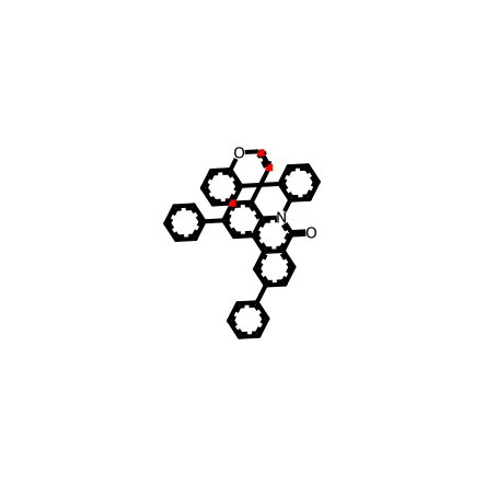 O=c1c2ccc(-c3ccccc3)cc2c2cc(-c3ccccc3)cc3c2n1-c1ccccc1C31c2ccccc2Oc2ccccc21